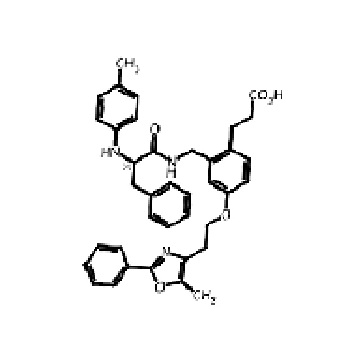 Cc1ccc(N[C@H](Cc2ccccc2)C(=O)NCc2cc(OCCc3nc(-c4ccccc4)oc3C)ccc2CCC(=O)O)cc1